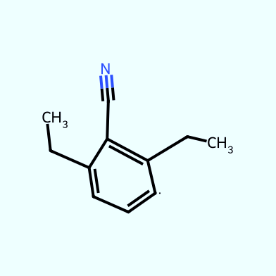 CCc1[c]ccc(CC)c1C#N